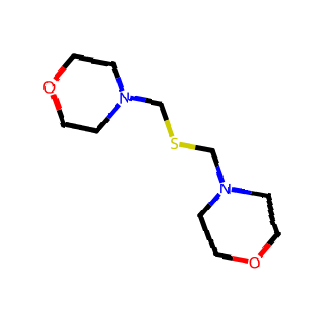 C1CN(CSCN2CCOCC2)CCO1